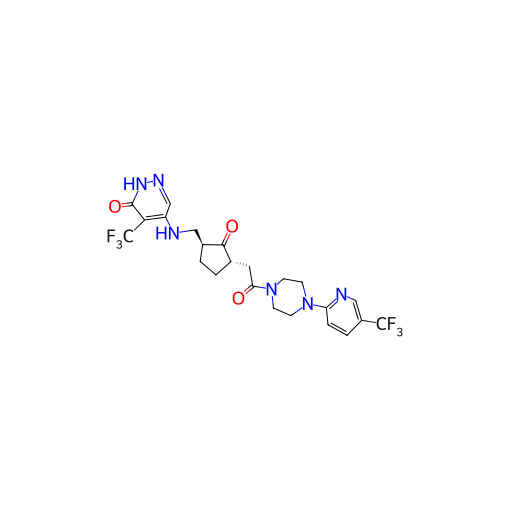 O=C1[C@H](CNc2cn[nH]c(=O)c2C(F)(F)F)CC[C@H]1CC(=O)N1CCN(c2ccc(C(F)(F)F)cn2)CC1